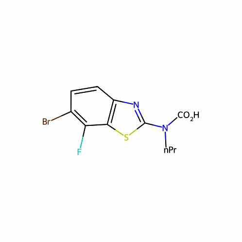 CCCN(C(=O)O)c1nc2ccc(Br)c(F)c2s1